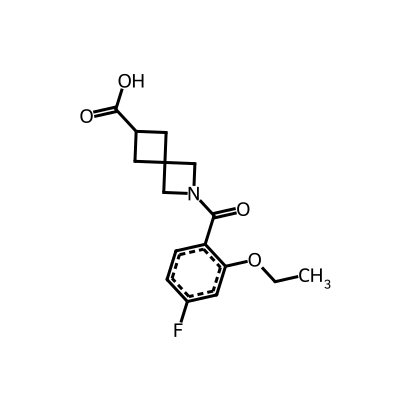 CCOc1cc(F)ccc1C(=O)N1CC2(CC(C(=O)O)C2)C1